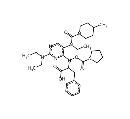 CCN(CC)c1ncc(N(CC)C(=O)N2CCC(C)CC2)c(N(OC(=O)N2CCCC2)C(Cc2ccccc2)C(=O)O)n1